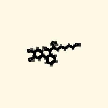 CN(CCCCCO)C(=O)c1ccccc1-c1ccc(Cl)c(Cl)c1